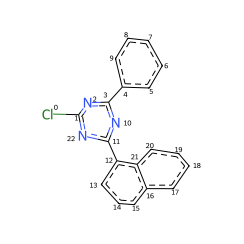 Clc1nc(-c2ccccc2)nc(-c2cccc3ccccc23)n1